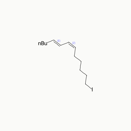 CCCC/C=C/C=C\CCCCCI